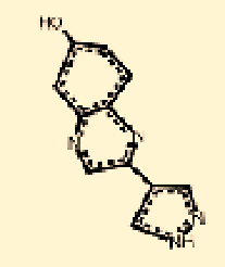 Oc1ccc2nc(-c3cn[nH]c3)cnc2c1